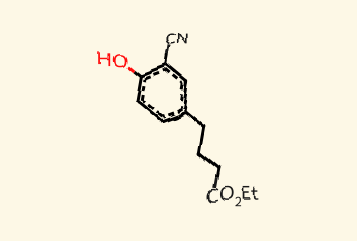 CCOC(=O)CCCc1ccc(O)c(C#N)c1